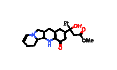 CCC(O)(CC(=O)OC)C1=CC(=O)C2=C(C1)CC1CN3C=CCCC3C1N2